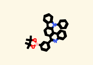 CC1(C)OB(c2cccc(-c3nc4ccccc4c4c3ccc3c5ccccc5n(-c5ccccc5)c34)c2)OC1(C)C